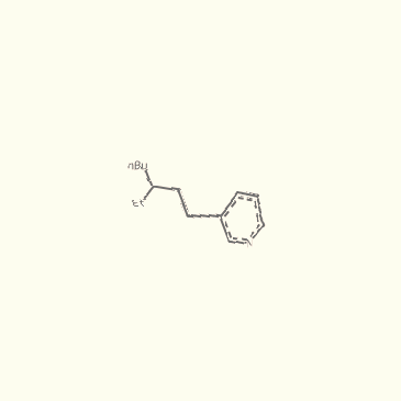 CCCCC(CC)CCc1cccnc1